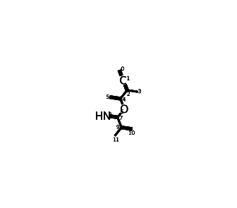 C=C=C(C)C(=C)OC(=N)C(=C)C